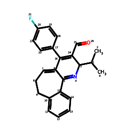 CC(C)C1N=C2C(=CCCc3ccccc32)C(c2ccc(F)cc2)=C1C=O